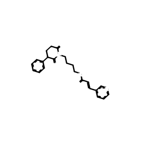 O=C(C=Cc1cccnc1)NCCCCN1C(=O)CCC(c2ccccc2)C1=O